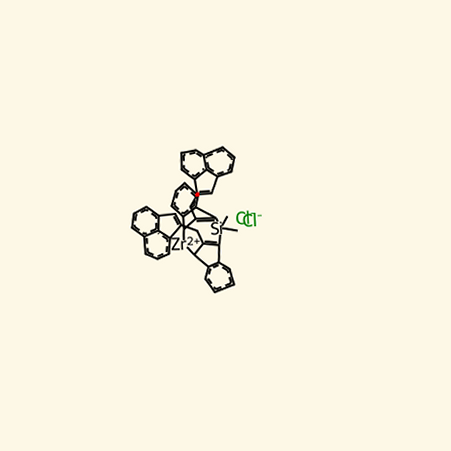 C[Si]1(C)C2=C(CC3=Cc4cccc5cccc3c45)[CH]([Zr+2][CH]3C(CC4=Cc5cccc6cccc4c56)=C1c1ccccc13)c1ccccc12.[Cl-].[Cl-]